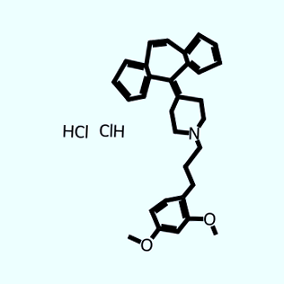 COc1ccc(CCCN2CCC(=C3c4ccccc4C=Cc4ccccc43)CC2)c(OC)c1.Cl.Cl